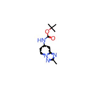 Cc1nc2cc(NC(=O)OC(C)(C)C)ccn2n1